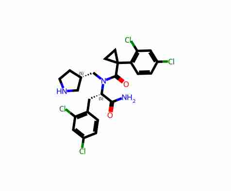 NC(=O)[C@H](Cc1ccc(Cl)cc1Cl)N(C[C@H]1CCNC1)C(=O)C1(c2ccc(Cl)cc2Cl)CC1